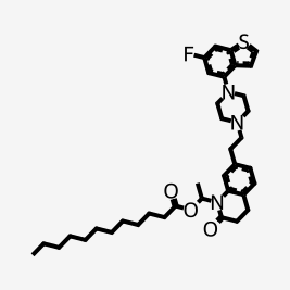 CCCCCCCCCCCC(=O)OC(C)N1C(=O)CCc2ccc(CCN3CCN(c4cc(F)cc5sccc45)CC3)cc21